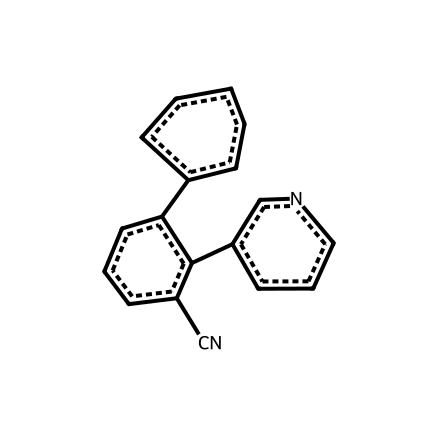 N#Cc1cccc(-c2ccccc2)c1-c1cccnc1